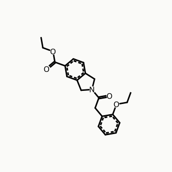 CCOC(=O)c1ccc2c(c1)CN(C(=O)Cc1ccccc1OCC)C2